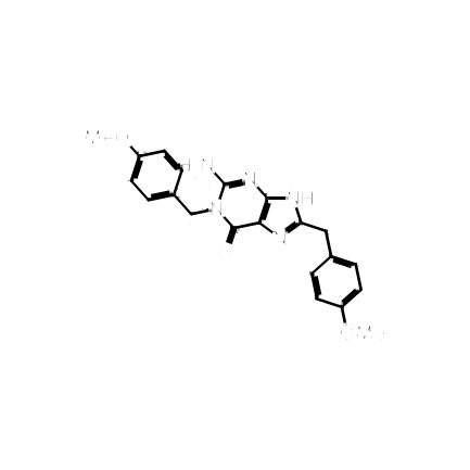 COc1ccc(Cc2nc3c(=O)n(Cc4ccc(OC)cc4)c(N)nc3[nH]2)cc1